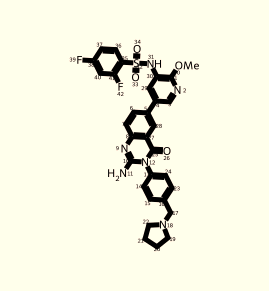 COc1ncc(-c2ccc3nc(N)n(-c4ccc(CN5CCCC5)cc4)c(=O)c3c2)cc1NS(=O)(=O)c1ccc(F)cc1F